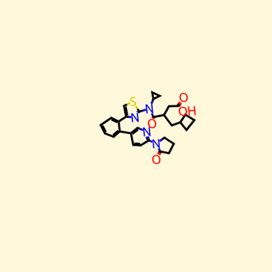 O=C(O)CC(CC1CCC1)C(=O)N(c1nc(-c2ccccc2-c2ccc(N3CCCC3=O)nc2)cs1)C1CC1